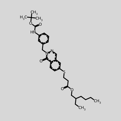 CCCCC(CC)COC(=O)CCSc1ccc2c(=O)n(Cc3cccc(NC(=O)OC(C)(C)C)c3)ncc2c1